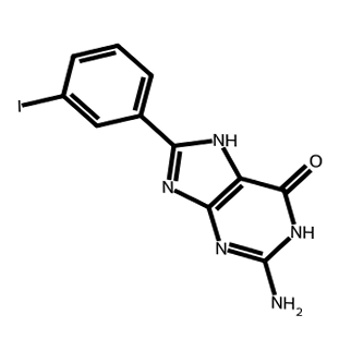 Nc1nc2nc(-c3cccc(I)c3)[nH]c2c(=O)[nH]1